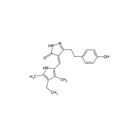 CCc1c(C)[nH]c(C=C2C(=O)NN=C2CCc2ccc(O)cc2)c1C